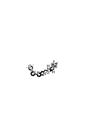 C[C@@H]1CN(c2cccc(-c3ccc4cnc(CC(=O)N[C@]56C[C@H]5CN(S(=O)(=O)C(F)F)C6)cc4n3)n2)C[C@H](C)O1